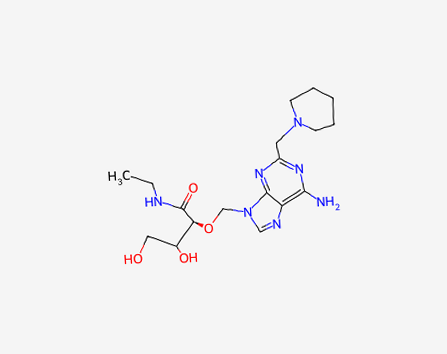 CCNC(=O)[C@@H](OCn1cnc2c(N)nc(CN3CCCCC3)nc21)C(O)CO